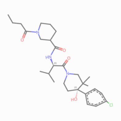 CCCC(=O)N1CCCC(C(=O)N[C@@H](C(=O)N2CC[C@](O)(c3ccc(Cl)cc3)C(C)(C)C2)C(C)C)C1